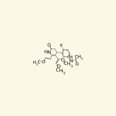 CO/C=C(\OC)C1=C(/C=C/OC)NC(=O)CC1c1cc(NC(C)=O)ccc1F